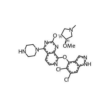 CO[C@@H]1CN(C)C[C@H]1Oc1nc(N2CCNCC2)c2ccnc(Oc3c(Cl)c(Cl)cc4[nH]ncc34)c2n1